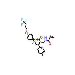 Cc1ccc(C2=C(CNC(=O)C3CC3)C(=O)N[C@](C)(c3ccc(OCCCC(F)(F)F)cc3)C2)nc1